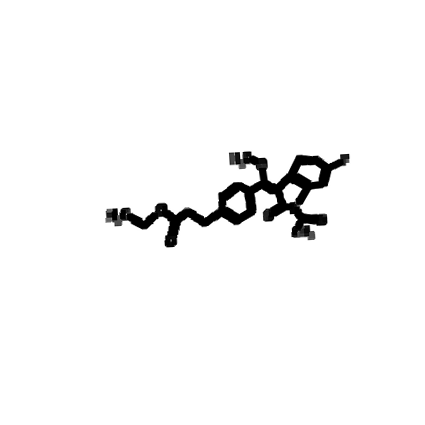 CCOC(=O)CCc1ccc(C(OC)=C2C(=O)N(C(C)=O)c3cc(F)ccc32)cc1